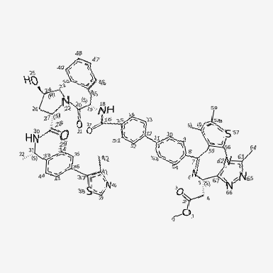 COC(=O)C[C@@H]1N=C(c2ccc(-c3ccc(C(=O)N[C@H](C(=O)N4C[C@H](O)C[C@H]4C(=O)N[C@@H](C)c4ccc(-c5scnc5C)cc4)c4ccccc4)cc3)cc2)c2c(sc(C)c2C)-n2c(C)nnc21